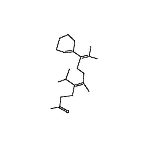 CC(=O)CCC(=C(C)CCC(C1=CCCCC1)=C(C)C)C(C)C